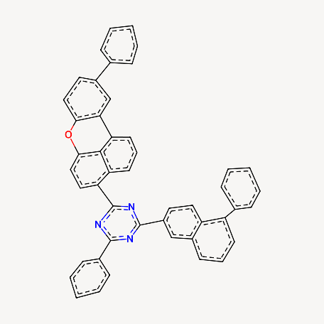 c1ccc(-c2ccc3c(c2)-c2cccc4c(-c5nc(-c6ccccc6)nc(-c6ccc7c(-c8ccccc8)cccc7c6)n5)ccc(c24)O3)cc1